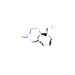 CSc1cccc2c1CCN(C(C)C)C2